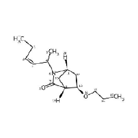 CC/C=C\C(C)N1C(=O)[C@@H]2C[C@H]1C[C@H]2OCCC